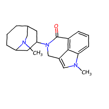 CN1CC2CCCC1CC(N1Cc3cn(C)c4cccc(c34)C1=O)C2